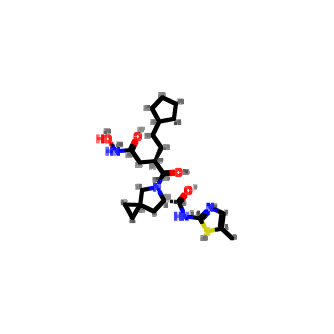 Cc1cnc(NC(=O)[C@@H]2CC3(CC3)CN2C(=O)[C@H](CCC2CCCC2)CC(=O)NO)s1